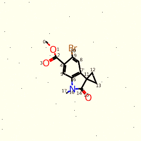 COC(=O)c1cc2c(cc1Br)C1(CC1)C(=O)N2C